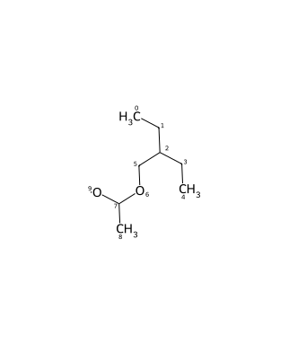 CCC(CC)COC(C)[O]